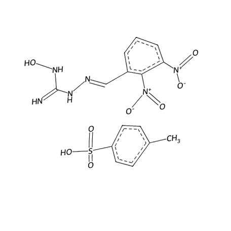 Cc1ccc(S(=O)(=O)O)cc1.N=C(NO)N/N=C/c1cccc([N+](=O)[O-])c1[N+](=O)[O-]